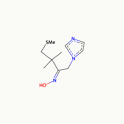 CSCC(C)(C)/C(Cn1ccnc1)=N\O